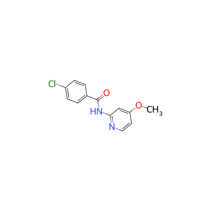 COc1ccnc(NC(=O)c2ccc(Cl)cc2)c1